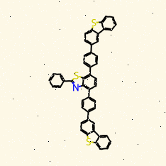 c1ccc(-c2nc3c(-c4ccc(-c5ccc6sc7ccccc7c6c5)cc4)ccc(-c4ccc(-c5ccc6sc7ccccc7c6c5)cc4)c3s2)cc1